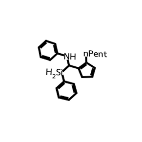 CCCCCC1=C(C(Nc2ccccc2)[SiH2]c2ccccc2)CC=C1